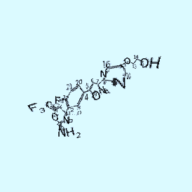 C[C@@]1(c2cc(-c3cc(-c4ncc(OCCO)cn4)no3)ccc2F)C[C@@H](C(F)(F)F)OC(N)=N1